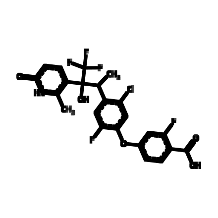 Cc1[nH]c(=O)ccc1C(O)(C(C)c1cc(F)c(Oc2ccc(C(=O)O)c(F)c2)cc1Cl)C(F)(F)F